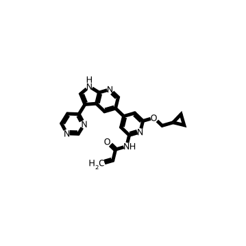 C=CC(=O)Nc1cc(-c2cnc3[nH]cc(-c4ccncn4)c3c2)cc(OCC2CC2)n1